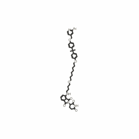 CC(=O)c1cc(COc2ccc(C(C)(C)c3ccc(OCCCCCCCCOCCCCNc4cccc5c4C(=O)N(C4CCC(=O)NC4=O)C5=O)cc3)cc2)ccn1